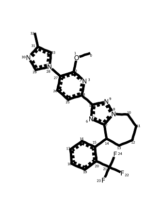 COc1nc(-c2nc3n(n2)CCCCC3c2ccccc2C(F)(F)F)ccc1-n1cnc(C)c1